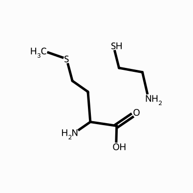 CSCCC(N)C(=O)O.NCCS